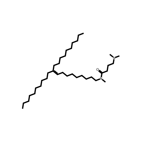 CCCCCCCCCCC(=CCCCCCCCCN(C)C(=O)CCCN(C)C)CCCCCCCCCC